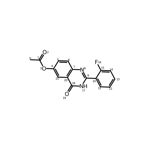 CC(=O)Oc1ccc2nc(-c3ccccc3F)[nH]c(=O)c2c1